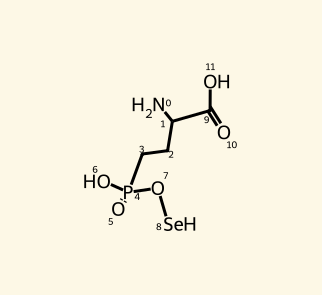 NC(CCP(=O)(O)O[SeH])C(=O)O